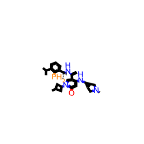 C=C(N[C@H](C)c1cccc(C(C)C)c1P)c1cn(C2CC(C)C2)c(=O)cc1NC1C2CN(C)CC21